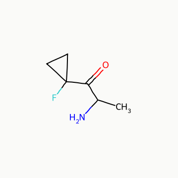 CC(N)C(=O)C1(F)CC1